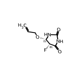 C=CCO[C@@H]1NC(=O)NC(=O)[C@@H]1F